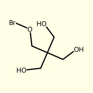 OCC(CO)(CO)COBr